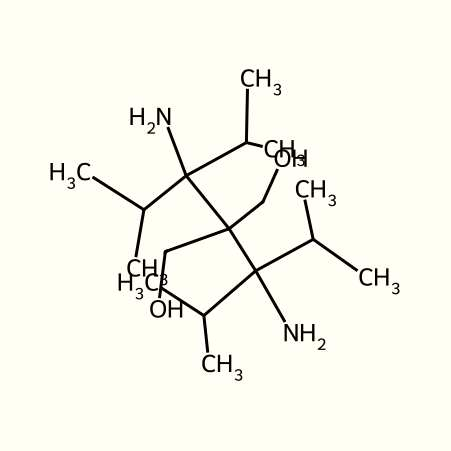 CC(C)C(N)(C(C)C)C(CO)(CO)C(N)(C(C)C)C(C)C